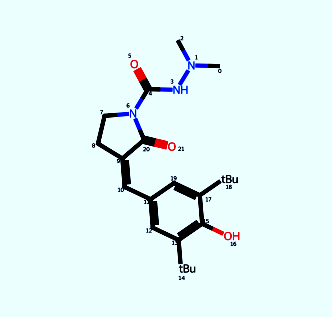 CN(C)NC(=O)N1CCC(=Cc2cc(C(C)(C)C)c(O)c(C(C)(C)C)c2)C1=O